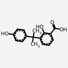 CC(C)(c1ccc(O)cc1)c1cccc(C(=O)O)c1O